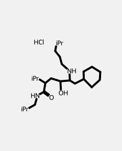 CC(C)CCCNC(CC1CCCCC1)C(O)CC(C(=O)NCC(C)C)C(C)C.Cl